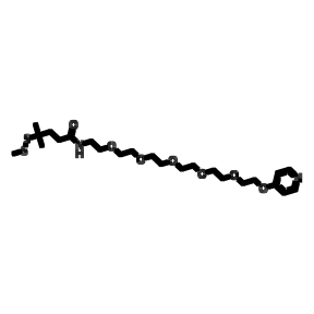 CSSC(C)(C)CCC(=O)NCCOCCOCCOCCOCCOCCOc1ccncc1